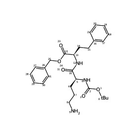 CC(C)(C)OC(=O)N[C@@H](CCCN)C(=O)N[C@H](CCc1ccccc1)C(=O)OCc1ccccc1